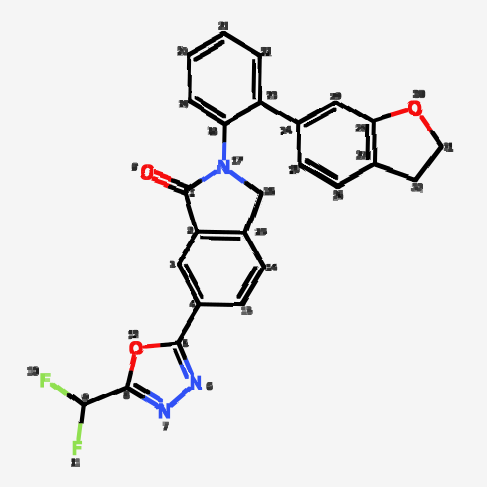 O=C1c2cc(-c3nnc(C(F)F)o3)ccc2CN1c1ccccc1-c1ccc2c(c1)OCC2